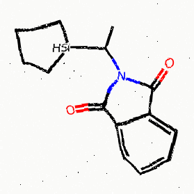 CC(N1C(=O)c2ccccc2C1=O)[SiH]1CCCC1